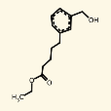 CCOC(=O)CCCCc1cccc(CO)c1